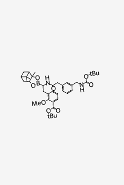 COc1c(CC(NC(=O)Cc2cccc(CNC(=O)OC(C)(C)C)c2)B2OC3CC4CC(C4(C)C)C3(C)O2)cccc1C(=O)OC(C)(C)C